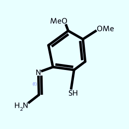 COc1cc(S)c(/N=C/N)cc1OC